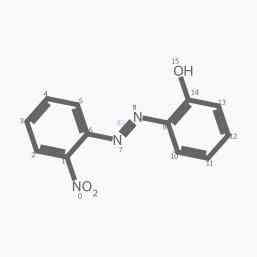 O=[N+]([O-])c1ccccc1/N=N/c1[c]cccc1O